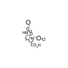 O=C(N[C@H]1CSC2=CC(C(=O)O)=CN(Cc3ccc(Cl)cc3)C2C1=O)OCc1ccccc1